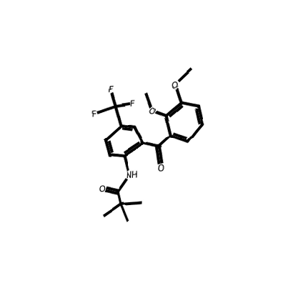 COc1cccc(C(=O)c2cc(C(F)(F)F)ccc2NC(=O)C(C)(C)C)c1OC